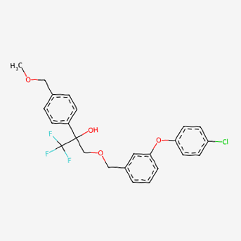 COCc1ccc(C(O)(COCc2cccc(Oc3ccc(Cl)cc3)c2)C(F)(F)F)cc1